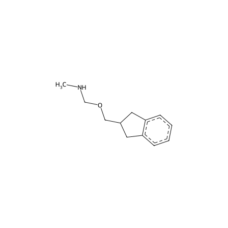 CNCOCC1Cc2ccccc2C1